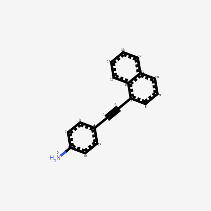 Nc1ccc(C#Cc2cccc3ccccc23)cc1